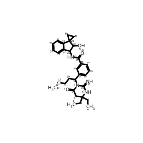 CCC1(CC)CC(=O)N(C(CCOC)c2cccc(C(=O)NC3c4ccccc4C4(CC4)C3O)c2)C(=N)N1